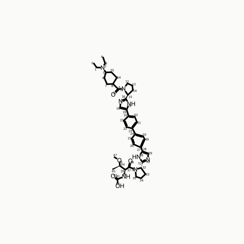 CCN(CC)C1CCC(C(=O)N2CCC[C@H]2c2ncc(-c3ccc(-c4ccc(-c5cnc([C@@H]6CCCN6C(=O)[C@@H](NC(=O)O)[C@@H](C)OC)[nH]5)cc4)cc3)[nH]2)CC1